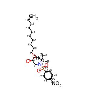 [2H]C([2H])([2H])N(CC(=O)OCCCCCCCCC=C)S(=O)(=O)c1ccc([N+](=O)[O-])cc1